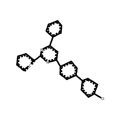 Clc1ccc(-c2ccc(-c3cc(-c4ccccc4)nc(-c4ccccc4)n3)cc2)cc1